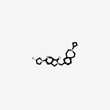 O=C1c2cnc(N3CC[C@H](F)C3)cc2CN1Cc1ccc2c(c1)CCN(C1CCC1)CC2